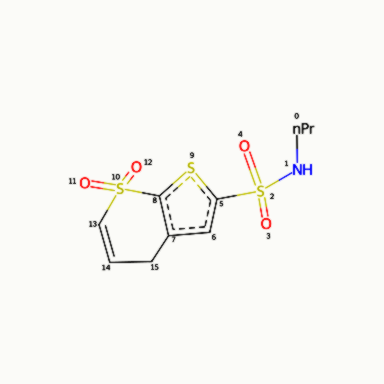 CCCNS(=O)(=O)c1cc2c(s1)S(=O)(=O)C=CC2